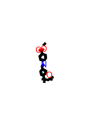 CCOC(=O)c1ccc(N=Cc2ccc3c(c2)OC(C)(C)CC3(C)C)cc1